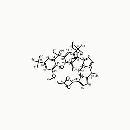 CCOC(=O)c1ccc2n1P(Oc1cc(C(C)(C)C)cc3c1Oc1c(OC)cc(C(C)(C)C)cc1C3(C)C)n1c(C3OC(C)O3)ccc1C2C